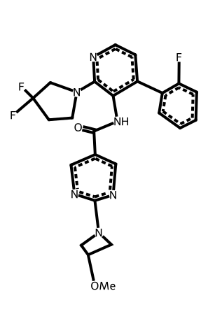 COC1CN(c2ncc(C(=O)Nc3c(-c4ccccc4F)ccnc3N3CCC(F)(F)C3)cn2)C1